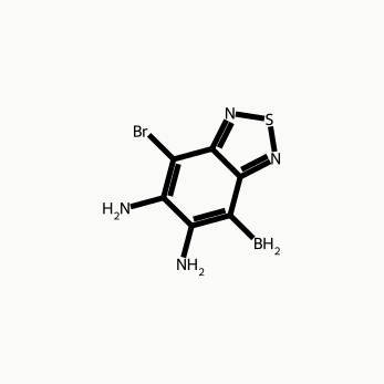 Bc1c(N)c(N)c(Br)c2nsnc12